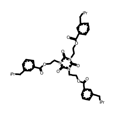 CC(C)Cc1cccc(C(=O)OCCn2c(=O)n(CCOC(=O)c3cccc(CC(C)C)c3)c(=O)n(CCOC(=O)c3cccc(CC(C)C)c3)c2=O)c1